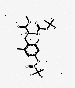 COC(=O)[C@H](Cc1c(C)cc(OS(=O)C(F)(F)F)cc1C)NC(=O)OC(C)(C)C